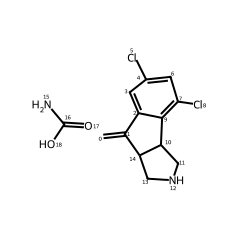 C=C1c2cc(Cl)cc(Cl)c2C2CNCC12.NC(=O)O